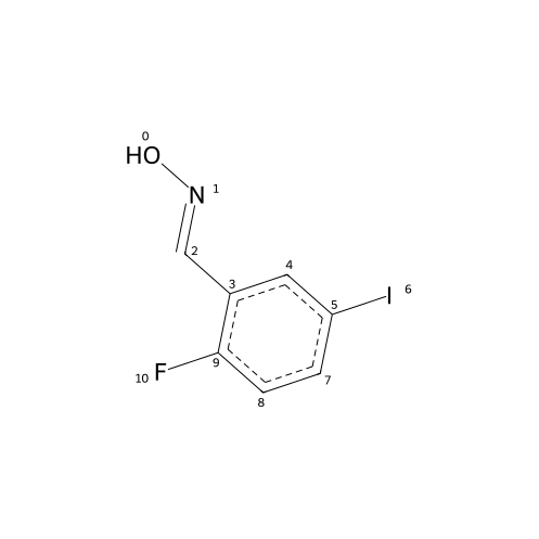 O/N=C/c1cc(I)ccc1F